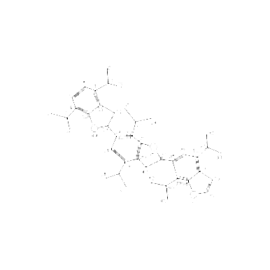 CC(C)c1ccc(C(C)C)c2c1CC(c1cc(C(C)C)c3c(c1C(C)C)OC(c1cc(C(C)C)c4ccoc4c1C(C)C)C3)O2